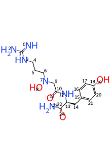 N=C(N)NCCCN(O)CC(=O)N[C@@H](Cc1ccc(O)cc1)C(N)=O